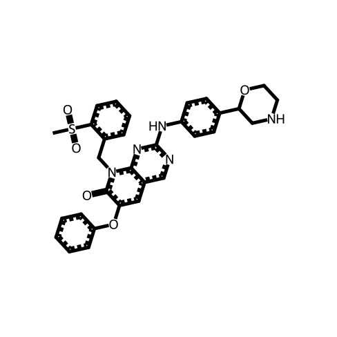 CS(=O)(=O)c1ccccc1Cn1c(=O)c(Oc2ccccc2)cc2cnc(Nc3ccc(C4CNCCO4)cc3)nc21